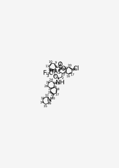 O=C(CC([AsH]S(=O)(=O)c1cccc(C(F)(F)F)c1)c1ccc(Cl)cc1)NC1CCCc2cc(CN3CCCCC3)ccc21